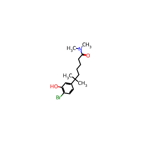 CN(C)C(=O)CCCCC(C)(C)c1ccc(Br)c(O)c1